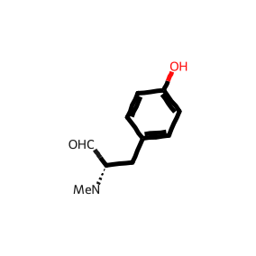 CN[C@H](C=O)Cc1ccc(O)cc1